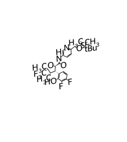 C[C@H]1[C@@H](c2ccc(F)c(F)c2O)[C@H](C(=O)Nc2ccc(CO[Si](C)(C)C(C)(C)C)nc2)O[C@@]1(C)C(F)(F)F